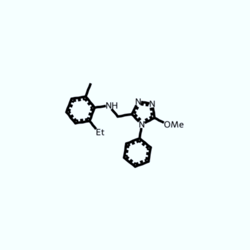 CCc1cccc(C)c1NCc1nnc(OC)n1-c1ccccc1